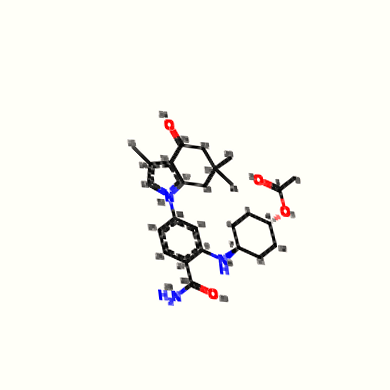 CC(=O)O[C@H]1CC[C@H](Nc2cc(-n3cc(C)c4c3CC(C)(C)CC4=O)ccc2C(N)=O)CC1